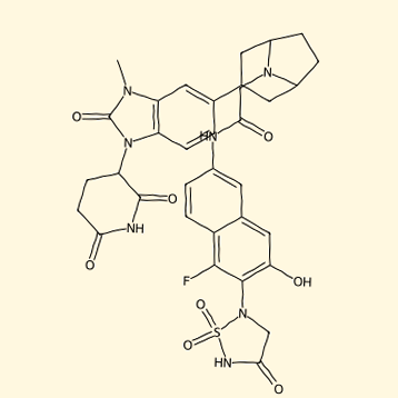 Cn1c(=O)n(C2CCC(=O)NC2=O)c2ccc(C3CC4CCC(C3)N4CC(=O)Nc3ccc4c(F)c(N5CC(=O)NS5(=O)=O)c(O)cc4c3)cc21